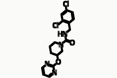 O=C(NCc1ccc(Cl)cc1Cl)N1CCCC(Oc2ncccn2)C1